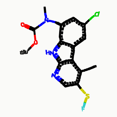 Cc1c(SF)cnc2[nH]c3c(N(C)C(=O)OC(C)(C)C)cc(Cl)cc3c12